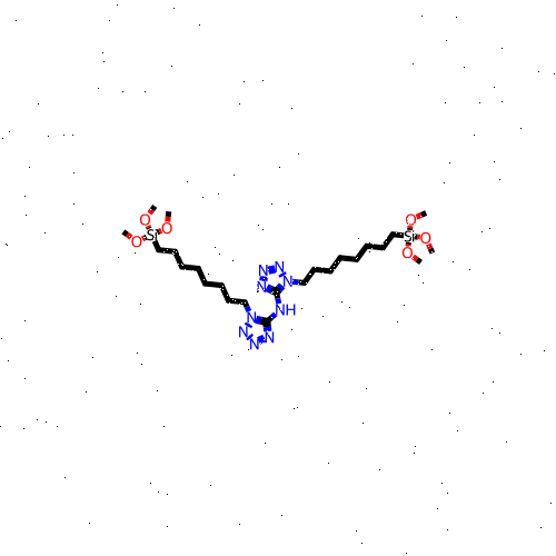 CO[Si](CCCCCCCCn1nnnc1Nc1nnnn1CCCCCCCC[Si](OC)(OC)OC)(OC)OC